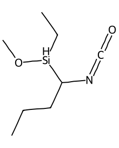 CCCC(N=C=O)[SiH](CC)OC